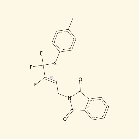 Cc1ccc(SC(F)(F)/C(F)=C/CN2C(=O)c3ccccc3C2=O)cc1